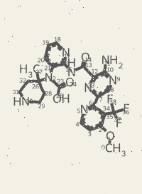 COc1ccnc(-c2cnc(N)c(C(=O)Nc3ncccc3N(C(=O)O)C3(C)CCNCC3)n2)c1C(F)(F)F